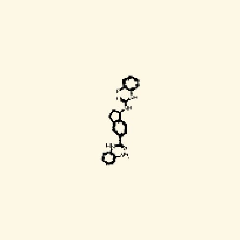 Nc1ccccc1NC(=O)c1ccc2c(c1)CCC2NC(=O)Nc1ccccc1F